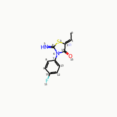 C/C=C1\SC(=N)N(c2ccc(F)cc2)C1=O